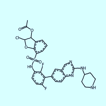 CC(=O)OC1c2cccc(S(=O)(=O)Nc3ccc(F)c(-c4ccc5nc(NC6CCNCC6)ncc5c4)c3F)c2OC1Cl